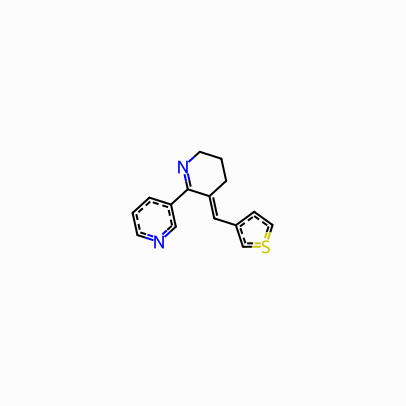 C(=C1/CCCN=C1c1cccnc1)/c1ccsc1